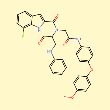 COc1ccc(Oc2ccc(NC(=O)CN(C(=O)c3cc4cccc(F)c4[nH]3)C(C=O)CNc3ccccc3)cc2)cc1